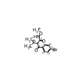 CONC(=O)C(C(=O)c1ccc(Br)cc1)C(C)C